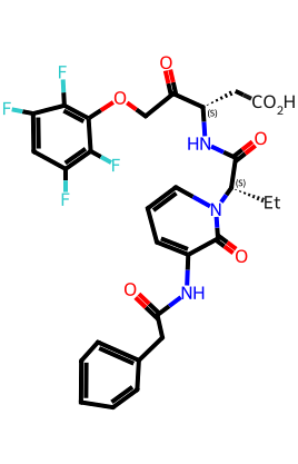 CC[C@@H](C(=O)N[C@@H](CC(=O)O)C(=O)COc1c(F)c(F)cc(F)c1F)n1cccc(NC(=O)Cc2ccccc2)c1=O